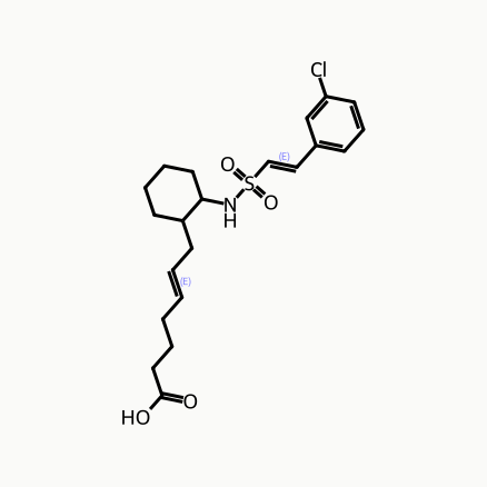 O=C(O)CCC/C=C/CC1CCCCC1NS(=O)(=O)/C=C/c1cccc(Cl)c1